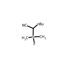 CCCCC(C#N)S(C)(C)F